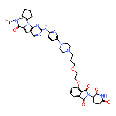 CN(C)C(=O)c1cc2cnc(Nc3ccc(N4CCN(CCCOCCOc5cccc6c5C(=O)N(C5CCC(=O)NC5=O)C6=O)CC4)cn3)nc2n1C1CCCC1